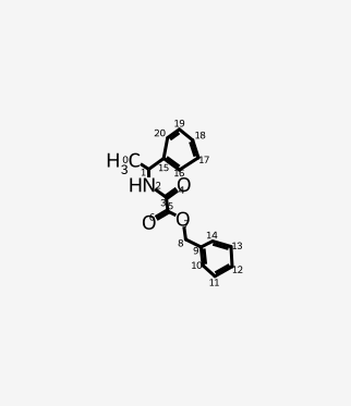 CC(NC(=O)C(=O)OCc1ccccc1)c1ccccc1